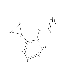 C=CCc1ccccc1C1CC1